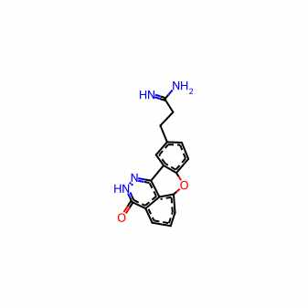 N=C(N)CCc1ccc2c(c1)-c1n[nH]c(=O)c3cccc(c13)O2